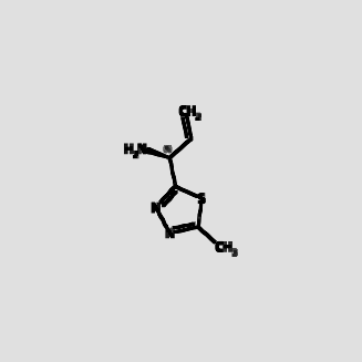 C=C[C@H](N)c1nnc(C)s1